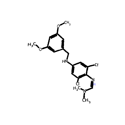 COc1cc(CNc2cc(Cl)c(/N=C\N(C)C)c(Cl)c2)cc(OC)c1